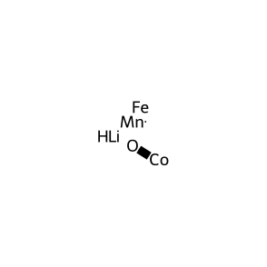 [Fe].[LiH].[Mn].[O]=[Co]